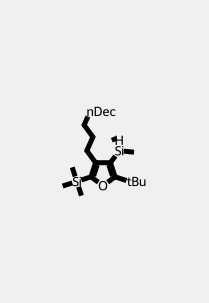 CCCCCCCCCCCCCc1c([Si](C)(C)C)oc(C(C)(C)C)c1[SiH](C)C